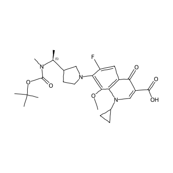 COc1c(N2CCC([C@H](C)N(C)C(=O)OC(C)(C)C)C2)c(F)cc2c(=O)c(C(=O)O)cn(C3CC3)c12